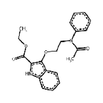 CCOC(=O)c1[nH]c2ccccc2c1OCCN(C(C)=O)c1ccccc1